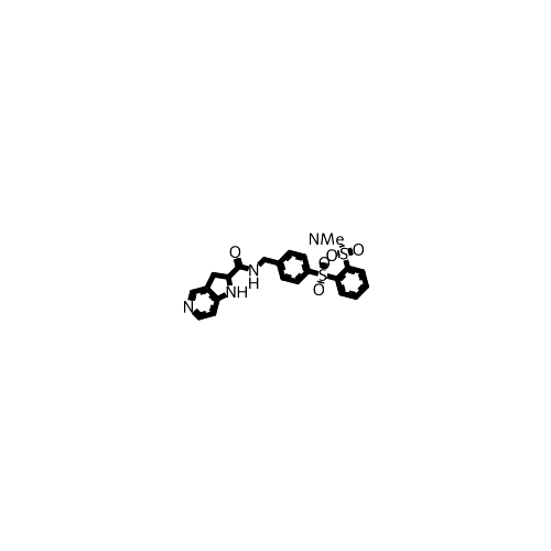 CNS(=O)(=O)c1ccccc1S(=O)(=O)c1ccc(CNC(=O)C2Cc3cnccc3N2)cc1